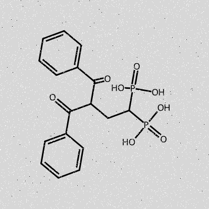 O=C(c1ccccc1)C(CC(P(=O)(O)O)P(=O)(O)O)C(=O)c1ccccc1